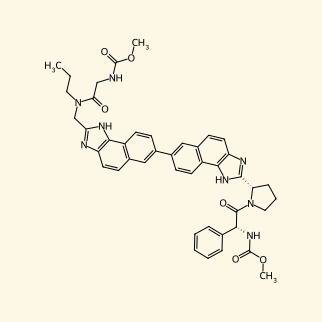 CCCN(Cc1nc2ccc3cc(-c4ccc5c(ccc6nc([C@@H]7CCCN7C(=O)[C@H](NC(=O)OC)c7ccccc7)[nH]c65)c4)ccc3c2[nH]1)C(=O)CNC(=O)OC